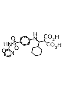 O=C(O)C(C(=O)O)C(Nc1ccc(S(=O)(=O)Nc2ncco2)cc1)C1CCCCC1